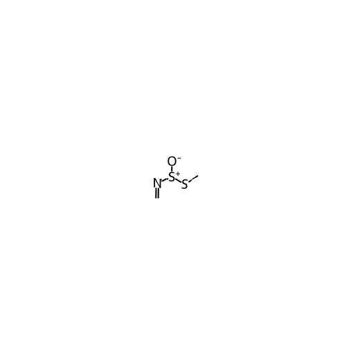 C=N[S+]([O-])SC